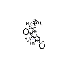 CC(C)(C)OC(=O)NN(/C(N)=C1\N=CN(C2CCCCO2)C1=N)C1CCCCC1